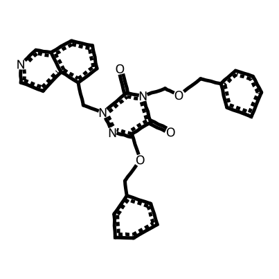 O=c1c(OCc2ccccc2)nn(Cc2cccc3cnccc23)c(=O)n1COCc1ccccc1